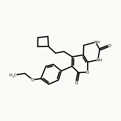 CCOc1ccc(-c2c(CCC3CCC3)c3c(oc2=O)NC(=O)NC3)cc1